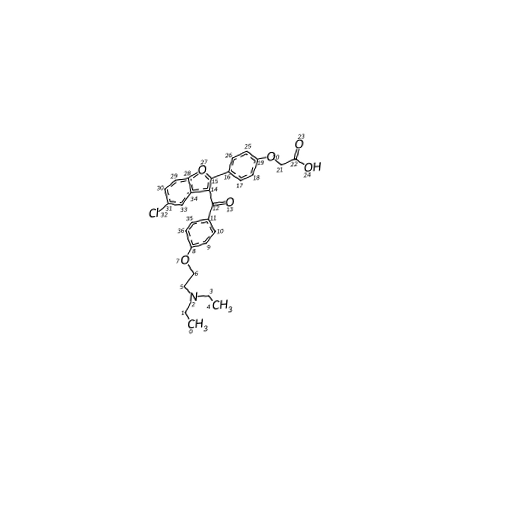 CCN(CC)CCOc1ccc(C(=O)c2c(-c3ccc(OCC(=O)O)cc3)oc3ccc(Cl)cc23)cc1